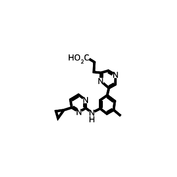 Cc1cc(Nc2nccc(C3CC3)n2)cc(-c2cncc(CCC(=O)O)n2)c1